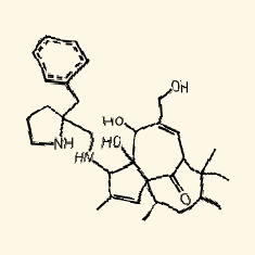 CC1=CC23C(=O)C(C=C(CO)C(O)C2(O)C1NCC1(Cc2ccccc2)CCCN1)C(C)(C)C(C)C[C@H]3C